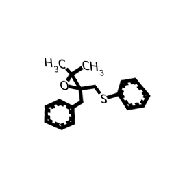 CC1(C)OC1(CSc1ccccc1)Cc1ccccc1